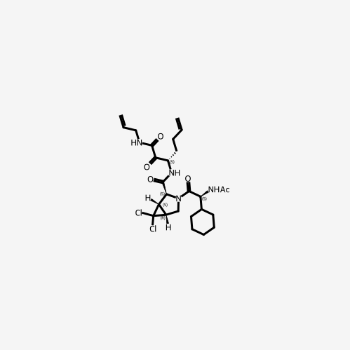 C=CCC[C@H](NC(=O)[C@@H]1[C@@H]2[C@H](CN1C(=O)[C@@H](NC(C)=O)C1CCCCC1)C2(Cl)Cl)C(=O)C(=O)NCC=C